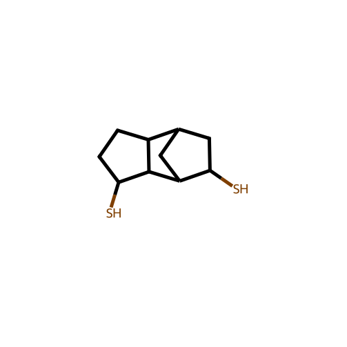 SC1CC2CC1C1C(S)CCC21